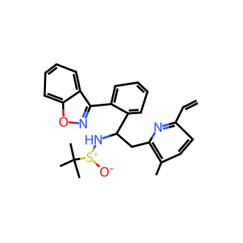 C=Cc1ccc(C)c(CC(N[S+]([O-])C(C)(C)C)c2ccccc2-c2noc3ccccc23)n1